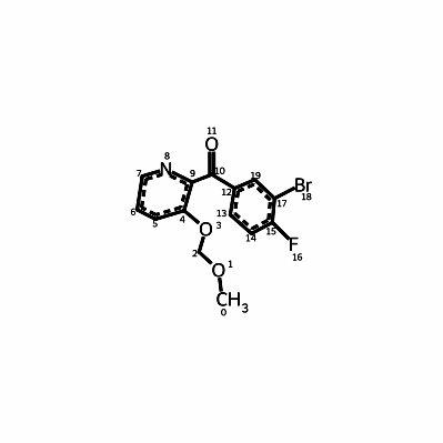 COCOc1cccnc1C(=O)c1ccc(F)c(Br)c1